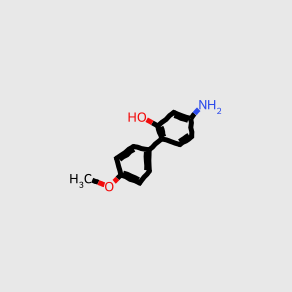 COc1ccc(-c2ccc(N)cc2O)cc1